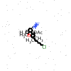 CC(=O)Oc1cc(C(C)(C)CCCCCCCl)cc2c1[C@@H]1C[C@H](CN=[N+]=[N-])CC[C@H]1C(C)(C)O2